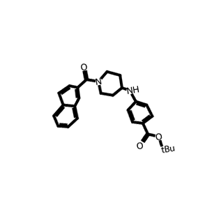 CC(C)(C)OC(=O)c1ccc(NC2CCN(C(=O)c3ccc4ccccc4c3)CC2)cc1